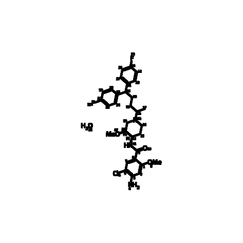 COc1cc(N)c(Cl)cc1C(=O)N[C@@H]1CCN(C(C)CCC(c2ccc(F)cc2)c2ccc(F)cc2)C[C@@H]1OC.O